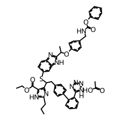 CC(=O)O.CCCc1nc(C(Cc2ccc(-c3ccccc3-c3nnn[nH]3)cc2)Sc2ccc3nc(C(C)Oc4ccc(CNC(=O)Oc5ccccc5)cc4)[nH]c3c2)c(C(=O)OCC)[nH]1